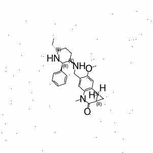 CC[C@@H]1CC[C@@H](NCc2cc3c(cc2OC)[C@H]2C[C@H]2C(=O)N3C)[C@@H](c2ccccc2)N1